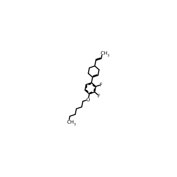 C/C=C/C1CC=C(c2ccc(OCCCCCC)c(F)c2F)CC1